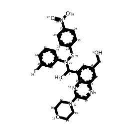 CC(c1cc(CO)cc2ncc(N3CCOCC3)nc12)N(Sc1ccc([N+](=O)[O-])cc1)c1cccc(F)c1